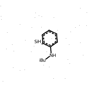 CCC(C)Nc1ccccc1.[SiH4]